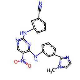 Cn1ccnc1-c1cccc(Nc2nc(Nc3cccc(C#N)c3)ncc2[N+](=O)[O-])c1